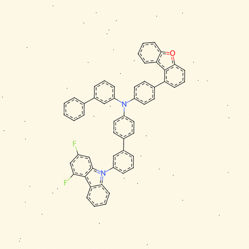 Fc1cc(F)c2c3ccccc3n(-c3cccc(-c4ccc(N(c5ccc(-c6cccc7oc8ccccc8c67)cc5)c5cccc(-c6ccccc6)c5)cc4)c3)c2c1